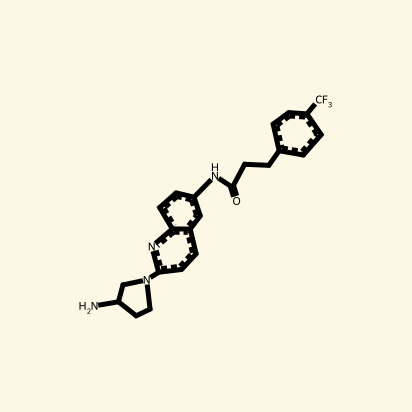 NC1CCN(c2ccc3cc(NC(=O)CCc4ccc(C(F)(F)F)cc4)ccc3n2)C1